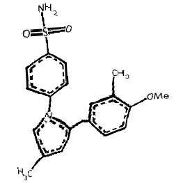 COc1ccc(-c2cc(C)cn2-c2ccc(S(N)(=O)=O)cc2)cc1C